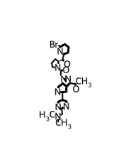 CC(=O)c1nn(CC(=O)N2CCC[C@H]2C(=O)c2cccc(Br)n2)c2cnc(-c3cnc(CN(C)C)nc3)cc12